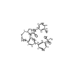 C[C@@H]1CCCNc2ccc(-c3cncc(S(C)(=O)=O)c3)nc2N1C(=O)Nc1cncc(F)c1